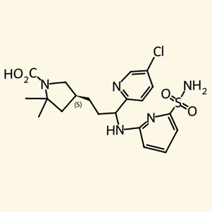 CC1(C)C[C@H](CCC(Nc2cccc(S(N)(=O)=O)n2)c2ccc(Cl)cn2)CN1C(=O)O